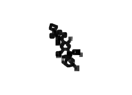 COC12CC3C[C@@H](C1)C(Oc1cc(F)c(C(=O)NS(=O)(=O)N4CCC4)cc1Cl)[C@@H](C3)C2